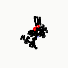 CCOC(=O)C(C)(C)C(C)/C=C(\C)CCC=C(C)C